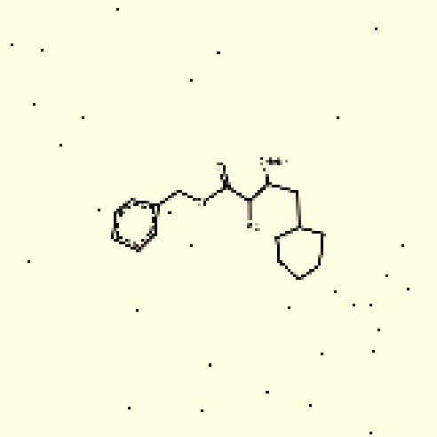 COC(CC1CCCCC1)C(C(C)=O)C(=O)OCc1ccccc1